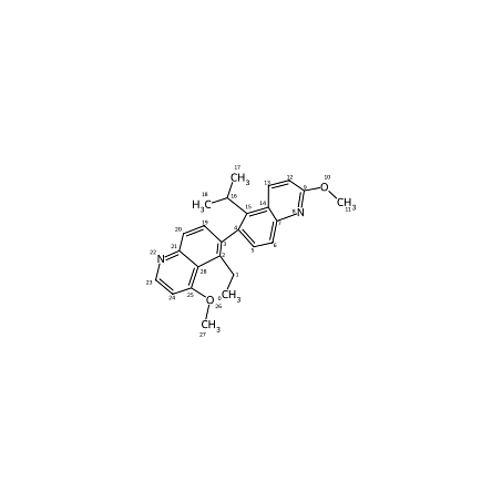 CCc1c(-c2ccc3nc(OC)ccc3c2C(C)C)ccc2nccc(OC)c12